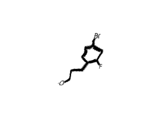 [O]CC=Cc1ccc(Br)cc1F